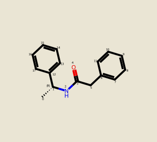 C[C@@H](NC(=O)Cc1ccccc1)c1ccccc1